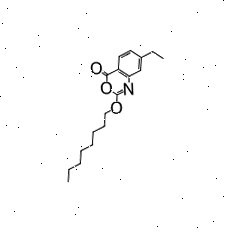 CCCCCCCCOc1nc2cc(CC)ccc2c(=O)o1